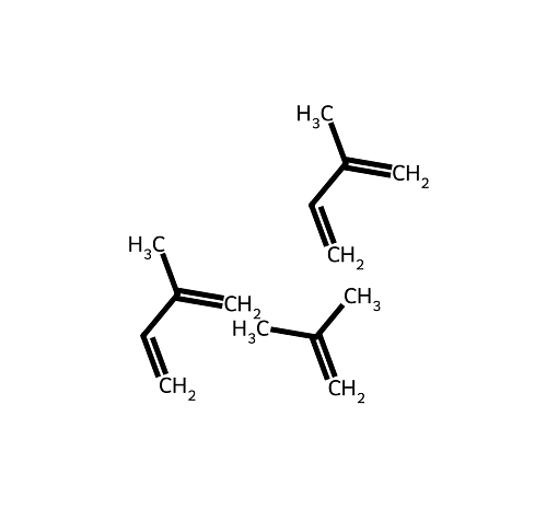 C=C(C)C.C=CC(=C)C.C=CC(=C)C